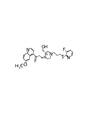 COc1ccc2nccc([C@@H](F)CC[C@@H]3CCN(CCCSc4ncccc4F)C[C@@H]3CO)c2c1